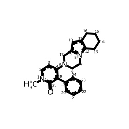 Cn1ccc(N2CCn3c(cc4c3CCCC4)C2)c(-c2ccccc2)c1=O